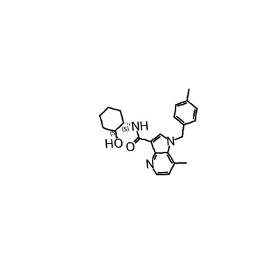 Cc1ccc(Cn2cc(C(=O)N[C@H]3CCCC[C@@H]3O)c3nccc(C)c32)cc1